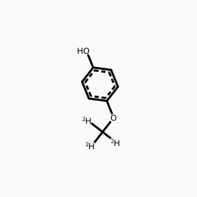 [2H]C([2H])([2H])Oc1ccc(O)cc1